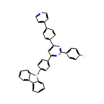 Fc1ccc(-c2nc(-c3ccc(-c4ccncc4)cc3)cc(-c3ccc(-n4c5ccccc5c5ccccc54)cc3)n2)cc1